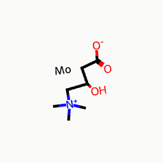 C[N+](C)(C)CC(O)CC(=O)[O-].[Mo]